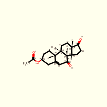 C[C@]12CC[C@H](OC(=O)C(F)(F)F)CC1=CC(=O)[C@@H]1[C@@H]2CC[C@]2(C)C(=O)CC[C@@H]12